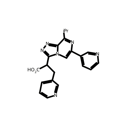 CC(C)c1nc(-c2cccnc2)cn2c(C(Cc3cccnc3)C(=O)O)nnc12